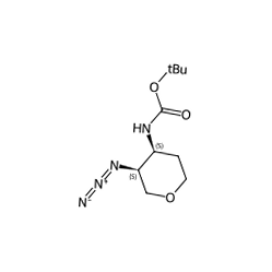 CC(C)(C)OC(=O)N[C@H]1CCOC[C@H]1N=[N+]=[N-]